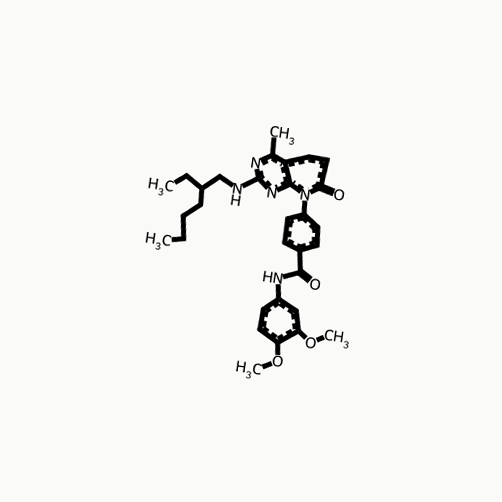 CCCCC(CC)CNc1nc(C)c2ccc(=O)n(-c3ccc(C(=O)Nc4ccc(OC)c(OC)c4)cc3)c2n1